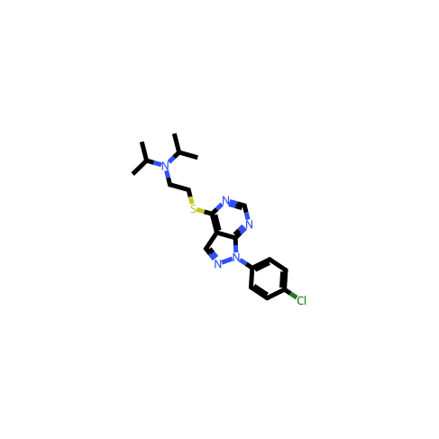 CC(C)N(CCSc1ncnc2c1cnn2-c1ccc(Cl)cc1)C(C)C